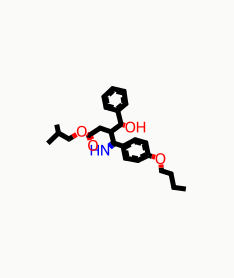 CCCCOc1ccc(C(=N)C(CC(=O)OCC(C)C)C(O)c2ccccc2)cc1